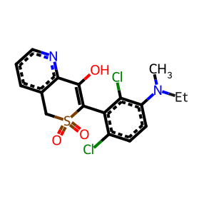 CCN(C)c1ccc(Cl)c(C2=C(O)c3ncccc3CS2(=O)=O)c1Cl